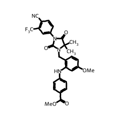 COC(=O)c1ccc(Nc2cc(OC)ccc2CN2C(=O)N(c3ccc(C#N)c(C(F)(F)F)c3)C(=O)C2(C)C)cc1